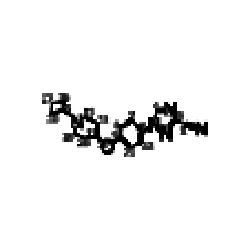 N#Cc1ncn(-c2ccc(OC3CCN(C4CCC4)CC3)cc2)n1